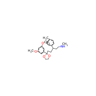 CNCCC(CCC1(c2cc(OC)cc(OC)c2)OCCO1)c1ccc(C)cc1